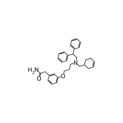 NC(=O)Cc1cccc(OCCCN(CC2CC=CCC2)CC(c2ccccc2)c2ccccc2)c1